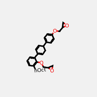 CCCCCCCCc1cccc(C2=CCC(c3ccc(OCC4CO4)cc3)C=C2)c1OCC1CO1